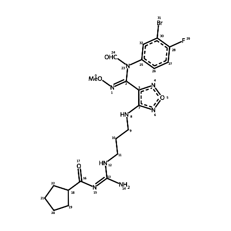 CO/N=C(/c1nonc1NCCCN/C(N)=N\C(=O)C1CCCC1)N(C=O)c1ccc(F)c(Br)c1